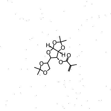 C=C(C)C(=O)O[C@H]1C(C2COC(C)(C)O2)O[C@@H]2OC(C)(C)O[C@@H]21